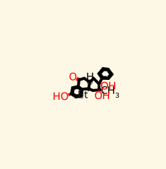 CCC12CC(C)(O)C(O)(c3ccccc3)C[C@H]1CC(=O)c1cc(O)ccc12